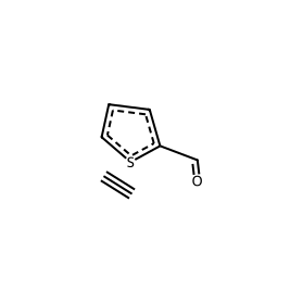 C#C.O=Cc1cccs1